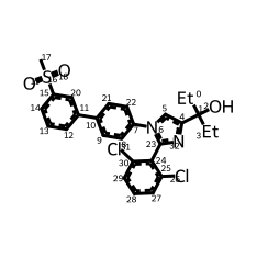 CCC(O)(CC)c1cn(-c2ccc(-c3cccc(S(C)(=O)=O)c3)cc2)c(-c2c(Cl)cccc2Cl)n1